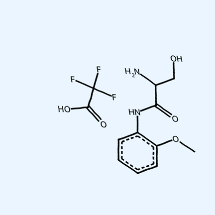 COc1ccccc1NC(=O)C(N)CO.O=C(O)C(F)(F)F